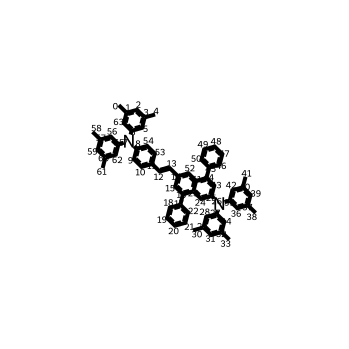 Cc1cc(C)cc(N(c2ccc(/C=C/c3cc(-c4ccccc4)c4cc(N(c5cc(C)cc(C)c5)c5cc(C)cc(C)c5)cc(-c5ccccc5)c4c3)cc2)c2cc(C)cc(C)c2)c1